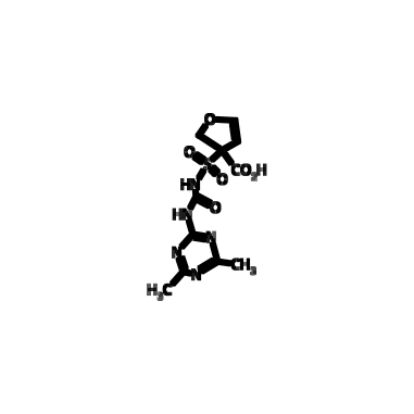 Cc1nc(C)nc(NC(=O)NS(=O)(=O)C2(C(=O)O)C=COC2)n1